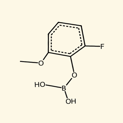 COc1cccc(F)c1OB(O)O